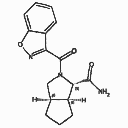 NC(=O)[C@@H]1[C@H]2CCC[C@H]2CN1C(=O)c1noc2ccccc12